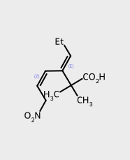 CC/C=C(\C=C/C[N+](=O)[O-])C(C)(C)C(=O)O